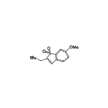 COc1ccc2c(c1)S(=O)(=O)C(CC(C)(C)C)=C2